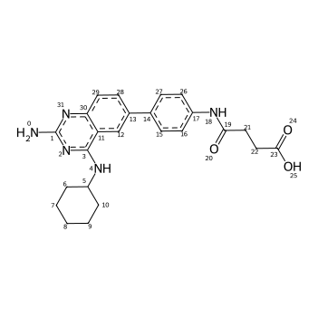 Nc1nc(NC2CCCCC2)c2cc(-c3ccc(NC(=O)CCC(=O)O)cc3)ccc2n1